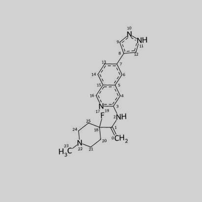 C=C(Nc1cc2cc(-c3cn[nH]c3)ccc2cn1)C1(F)CCN(C)CC1